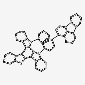 c1ccc(-n2c3ccccc3c3c4c5ccccc5sc4c4c5ccccc5n(-c5ccc(-c6ccc7c8c(cccc68)-c6ccccc6-7)cc5)c4c32)cc1